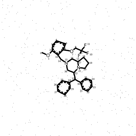 COc1cccc(OCC(F)(F)F)c1CN1CC2CCCN2C(C(c2ccccc2)c2ccccc2)C1